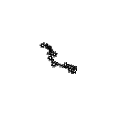 O=C(NC(c1ccccc1)c1cccc(OCc2cccc(OCCCCCNC[C@@H](O)c3ccc(O)c4[nH]c(=O)ccc34)c2)c1)O[C@H]1C[N+]2(CC(=O)c3ccccc3)CCC1CC2